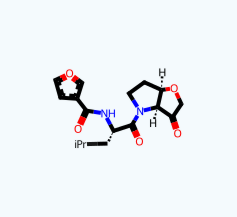 CC(C)C[C@H](NC(=O)c1ccoc1)C(=O)N1CC[C@H]2OCC(=O)[C@H]21